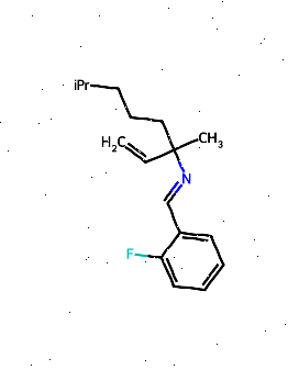 C=CC(C)(CCCC(C)C)N=Cc1ccccc1F